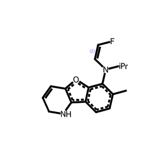 Cc1ccc2c3c(oc2c1N(/C=C\F)C(C)C)C=CCN3